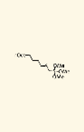 CCCCCCCCCCCCSC[Si](OC)(OC)OC